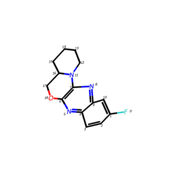 Fc1ccc2nc3c(nc2c1)N1CCCCC1CO3